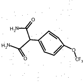 NC(=O)C(C(N)=O)c1ccc(OC(F)(F)F)cc1